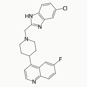 Fc1ccc2nccc(C3CCN(Cc4nc5cc(Cl)ccc5[nH]4)CC3)c2c1